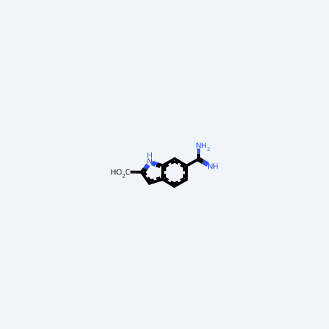 N=C(N)c1ccc2cc(C(=O)O)[nH]c2c1